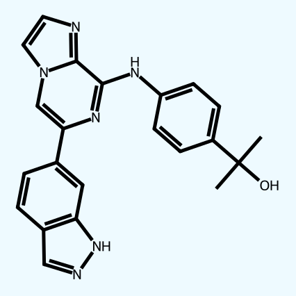 CC(C)(O)c1ccc(Nc2nc(-c3ccc4cn[nH]c4c3)cn3ccnc23)cc1